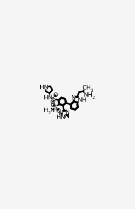 CC(N)Cc1nc2c(-c3ccc(S(=O)(=O)N[C@@H]4CCNC4)c(S(N)(=O)=O)c3-c3nn[nH]n3)cccc2[nH]1